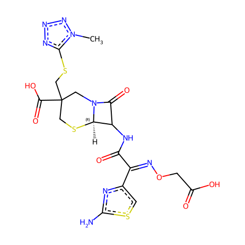 Cn1nnnc1SCC1(C(=O)O)CS[C@@H]2C(NC(=O)C(=NOCC(=O)O)c3csc(N)n3)C(=O)N2C1